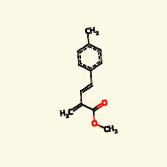 C=C(C=Cc1ccc(C)cc1)C(=O)OC